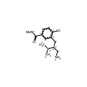 CNC(=O)c1ccc(Cl)c(C[C@@H](CN)N(C)C)c1